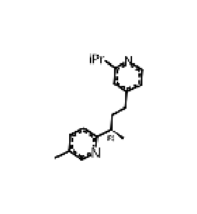 Cc1ccc([C@H](C)CCc2ccnc(C(C)C)c2)nc1